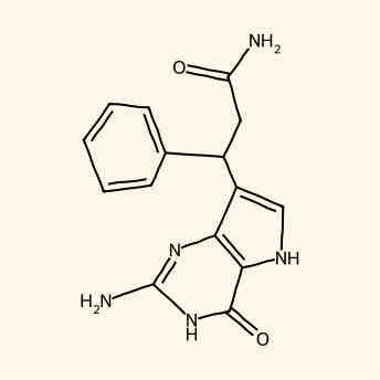 NC(=O)CC(c1ccccc1)c1c[nH]c2c(=O)[nH]c(N)nc12